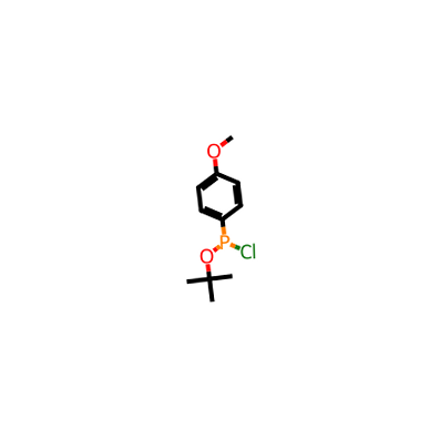 COc1ccc(P(Cl)OC(C)(C)C)cc1